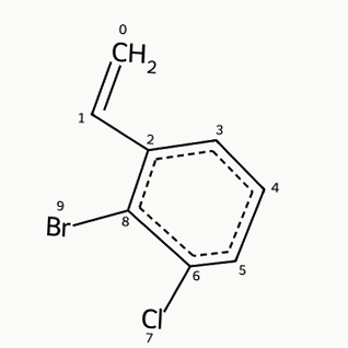 C=Cc1cccc(Cl)c1Br